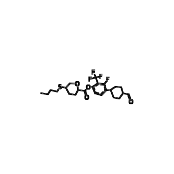 CCCCSC1CCC(C(=O)Oc2ccc(C3CCC(C=O)CC3)c(F)c2C(F)(F)F)OC1